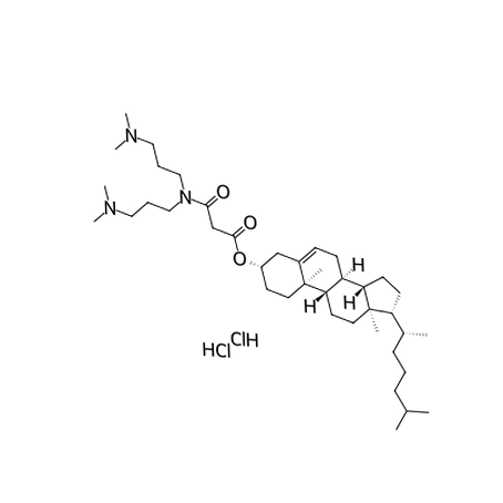 CC(C)CCC[C@@H](C)[C@H]1CC[C@H]2[C@@H]3CC=C4C[C@@H](OC(=O)CC(=O)N(CCCN(C)C)CCCN(C)C)CC[C@]4(C)[C@H]3CC[C@]12C.Cl.Cl